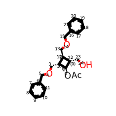 CC(=O)O[C@@H]1[C@H](COCc2ccccc2)[C@@H](COCc2ccccc2)[C@@H]1CO